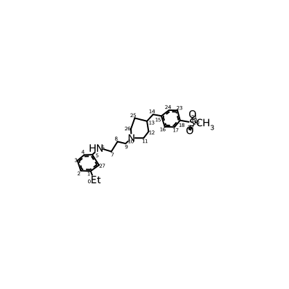 CCc1cccc(NCCCN2CCC(Cc3ccc(S(C)(=O)=O)cc3)CC2)c1